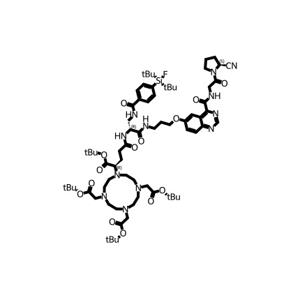 CC(C)(C)OC(=O)CN1CCN(CC(=O)OC(C)(C)C)CCN([C@H](CCC(=O)N[C@H](CNC(=O)c2ccc([Si](F)(C(C)(C)C)C(C)(C)C)cc2)C(=O)NCCCOc2ccc3ncnc(C(=O)NCC(=O)N4CCC[C@H]4C#N)c3c2)C(=O)OC(C)(C)C)CCN(CC(=O)OC(C)(C)C)CC1